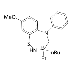 CCCC[C@@]1(CC)CN(c2ccccc2)c2ccc(OC)cc2SN1